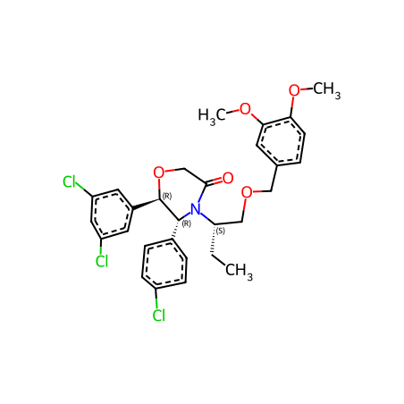 CC[C@@H](COCc1ccc(OC)c(OC)c1)N1C(=O)CO[C@H](c2cc(Cl)cc(Cl)c2)[C@H]1c1ccc(Cl)cc1